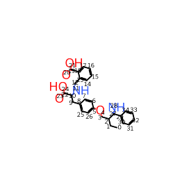 CCC(COc1ccc(CC(NCc2ccccc2C(=O)O)C(=O)O)cc1)C(=N)c1ccccc1